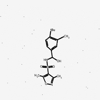 Cc1cc(C(O)NS(=O)(=O)c2c(C)noc2C)ccc1C(C)(C)C